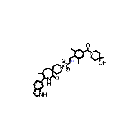 CC1=C(c2ccc3cc[nH]c3c2)NC(=O)C2(CC1)CCN(S(=O)(=O)/C=C/c1c(C)cc(C(=O)N3CCC(C)(O)CC3)cc1C)CC2